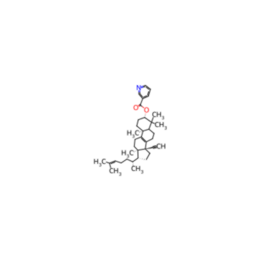 C#C[C@@]12CC[C@H]([C@H](C)CCC=C(C)C)[C@@]1(C)CCC1=C2CCC2C(C)(C)[C@@H](OC(=O)c3cccnc3)CC[C@]12C